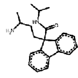 CC(N)CCC1(C(=O)NC(C)C)c2ccccc2-c2ccccc21